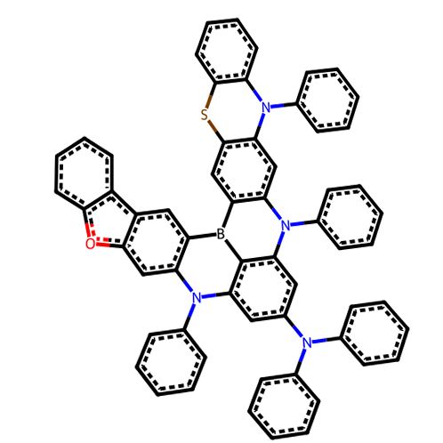 c1ccc(N(c2ccccc2)c2cc3c4c(c2)N(c2ccccc2)c2cc5oc6ccccc6c5cc2B4c2cc4c(cc2N3c2ccccc2)N(c2ccccc2)c2ccccc2S4)cc1